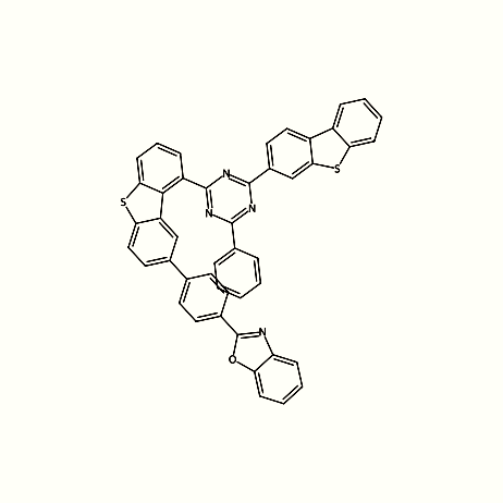 c1ccc(-c2nc(-c3ccc4c(c3)sc3ccccc34)nc(-c3cccc4sc5ccc(-c6ccc(-c7nc8ccccc8o7)cc6)cc5c34)n2)cc1